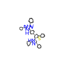 C1=C(c2ccccc2)N=C(c2ccccc2)NC1c1cc(-c2ccc(C3N=C(c4ccccc4)N=C(c4ccccc4)N3)cc2)cc2c1sc1ccccc12